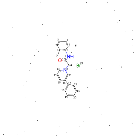 Cc1cccc(C)c1NC(=O)C[n+]1cccc(-c2ccccc2)c1.[Br-]